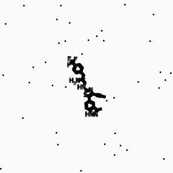 CC#Cc1nc(NCC(N)Cc2ccc(C(F)(F)F)cc2)sc1-c1ccc2[nH]nc(C)c2c1